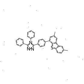 Cc1ccc2sc3c(-c4ccc(-c5nnc(-c6ccccc6)n5-c5ccccc5)cc4)cc(C)cc3c2c1